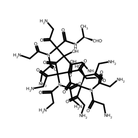 C[C@@H]([C]=O)NC(=O)C(C(=O)CN)(N(C(=O)CN)C(=O)CN)C(O)(C(=O)CN)C(=O)C(C(=O)CN)(N(C(=O)CN)C(=O)CN)C(O)(C(=O)CN)C(=O)[C@](C(=O)CN)(C(O)C(=O)CN)N(C(=O)CN)C(=O)CN